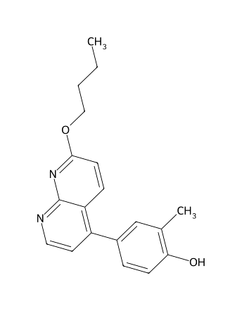 CCCCOc1ccc2c(-c3ccc(O)c(C)c3)ccnc2n1